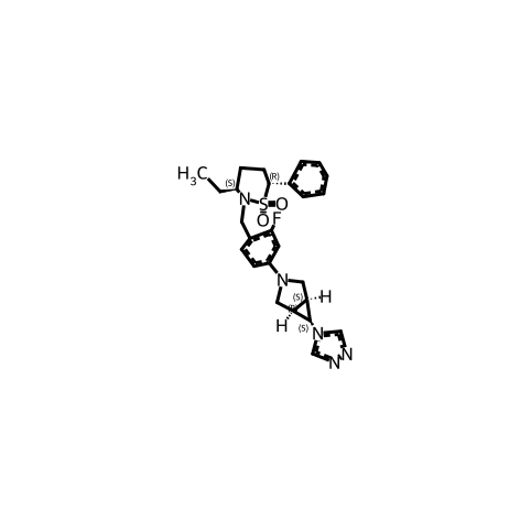 CC[C@H]1CC[C@H](c2ccccc2)S(=O)(=O)N1Cc1ccc(N2C[C@@H]3[C@H](C2)[C@H]3n2cnnc2)cc1F